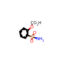 NS(=O)(=O)c1ccccc1OC(=O)O